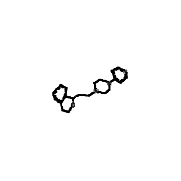 c1ccc2c(c1)CCOC2CCN1CCN(c2ccncc2)CC1